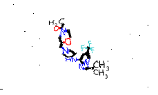 C=CC(=O)N1CCOC(CN2CCC(Nc3cc(C(F)(F)F)cn4c(C(C)C)cnc34)CC2)C1